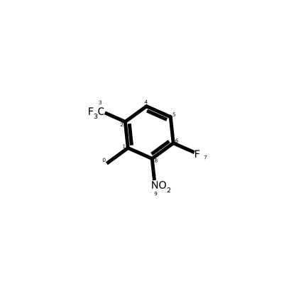 Cc1c(C(F)(F)F)ccc(F)c1[N+](=O)[O-]